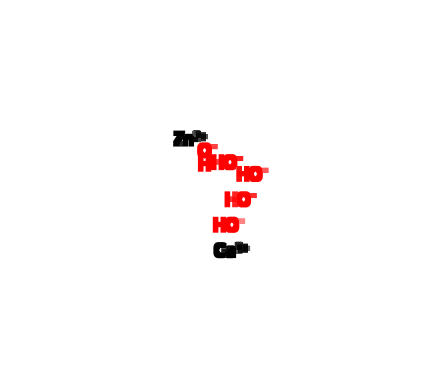 [Ga+3].[OH-].[OH-].[OH-].[OH-].[OH-].[Zn+2]